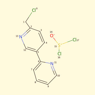 ClCc1ccc(-c2ccccn2)cn1.[O-][S+](Cl)Cl